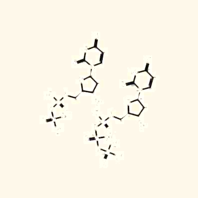 O=c1ccn([C@H]2C[C@H](O)[C@@H](COP(=O)(O)OP(=O)(O)O)O2)c(=O)[nH]1.O=c1ccn([C@H]2C[C@H](O)[C@@H](COP(=O)(O)OP(=O)(O)OP(=O)(O)O)O2)c(=O)[nH]1